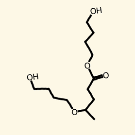 CC(CCC(=O)OCCCCO)OCCCCO